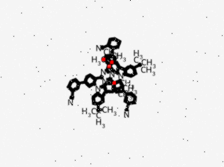 CC(C)(C)c1ccc2c(c1)c1cc(C(C)(C)C)ccc1n2-c1cc(-c2cccc(C#N)c2)ccc1-c1nc(-c2ccc(-c3ccccc3C#N)cc2)nc(-c2ccc(-c3cccc(C#N)c3)cc2-n2c3ccc(C(C)(C)C)cc3c3cc(C(C)(C)C)ccc32)n1